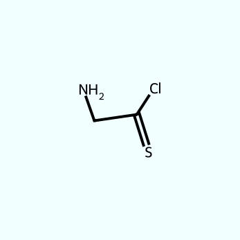 NCC(=S)Cl